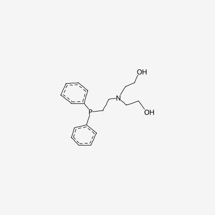 OCCN(CCO)CCP(c1ccccc1)c1ccccc1